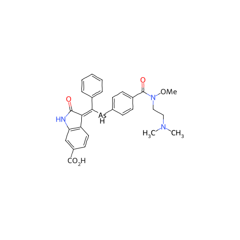 CON(CCN(C)C)C(=O)c1ccc([AsH]C(=C2C(=O)Nc3cc(C(=O)O)ccc32)c2ccccc2)cc1